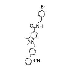 Cc1c(C)n(Cc2ccc(-c3ccccc3C#N)cc2)c2ccc(C(=O)NCCc3ccc(Br)cc3)cc12